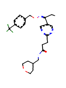 CCC(=NOCc1ccc(C(F)(F)F)cc1)c1cnc(CCC(=O)NCC2CCOCC2)nc1